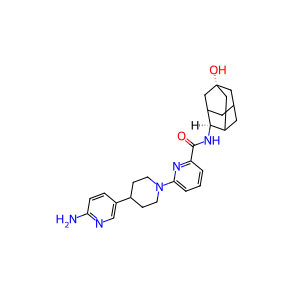 Nc1ccc(C2CCN(c3cccc(C(=O)N[C@H]4C5CC6CC4C[C@](O)(C6)C5)n3)CC2)cn1